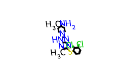 Cc1nc2[nH]c(N3CCC(C)(N)CC3)nc2nc1Sc1cccc(Cl)c1Cl